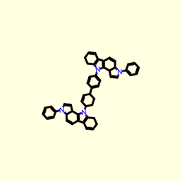 C1=Cc2c3c(n(-c4ccc(C5C=CC(n6c7c(c8c6C6C=CN(c9ccccc9)C6C=C8)C=CCC7)CC5)cc4)c2CC1)C1C=CN(c2ccccc2)C1C=C3